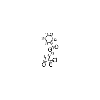 O=C(OCC1CC(=O)C1(Cl)Cl)c1ccccc1